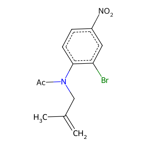 C=C(C)CN(C(C)=O)c1ccc([N+](=O)[O-])cc1Br